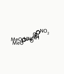 COc1ccc(CNC(=O)CNc2nc3cc([N+](=O)[O-])ccc3o2)cc1OC